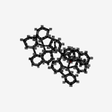 CCc1ccc2cccc3c2c1C1(c2ccccc2-c2ccc(N(c4ccc5ccccc5c4)c4cccc5c4C(c4ccccc4)(c4ccccc4)c4ccccc4-5)cc21)c1ccccc1-3